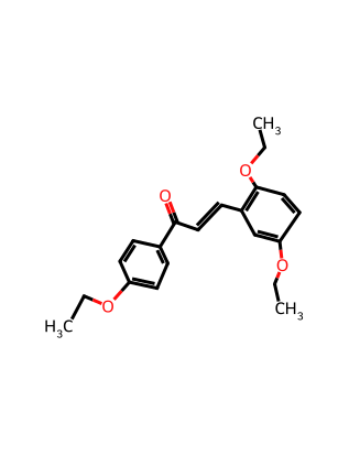 CCOc1ccc(C(=O)C=Cc2cc(OCC)ccc2OCC)cc1